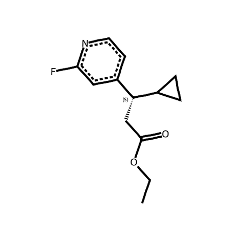 CCOC(=O)C[C@H](c1ccnc(F)c1)C1CC1